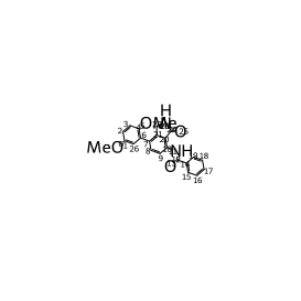 COc1ccc(OC)c(-c2ccc(NC(=O)c3ccccc3)c3c2CNC3=O)c1